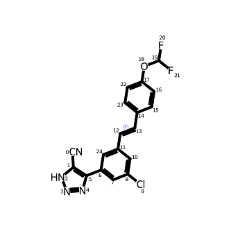 N#Cc1[nH]nnc1-c1cc(Cl)cc(/C=C/c2ccc(OC(F)F)cc2)c1